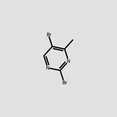 Cc1nc(Br)ncc1Br